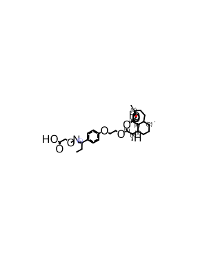 CC/C(=N\OCC(=O)O)c1ccc(OCCO[C@H]2O[C@@H]3O[C@@]4(C)CCC5[C@H](C)CC[C@@H]([C@H]2C)[C@]53OO4)cc1